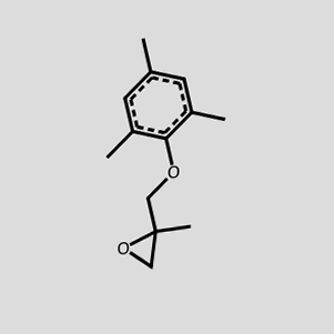 Cc1cc(C)c(OCC2(C)CO2)c(C)c1